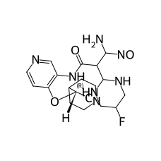 NC(N=O)C(C(=O)Nc1cnccc1O[C@H]1CN2CCC1CC2)C1NCC(F)CN1